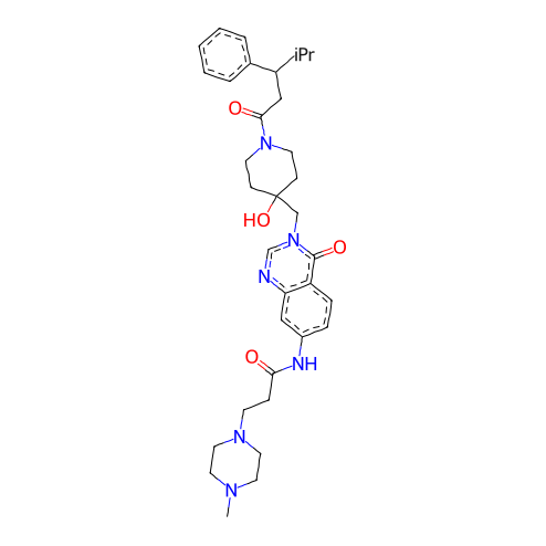 CC(C)C(CC(=O)N1CCC(O)(Cn2cnc3cc(NC(=O)CCN4CCN(C)CC4)ccc3c2=O)CC1)c1ccccc1